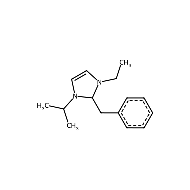 CCN1C=CN(C(C)C)C1Cc1ccccc1